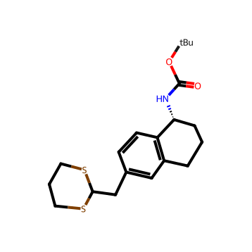 CC(C)(C)OC(=O)N[C@@H]1CCCc2cc(CC3SCCCS3)ccc21